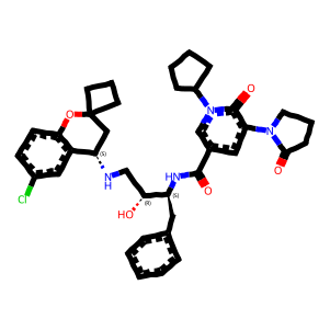 O=C(N[C@@H](Cc1ccccc1)[C@H](O)CN[C@H]1CC2(CCC2)Oc2ccc(Cl)cc21)c1cc(N2CCCC2=O)c(=O)n(C2CCCC2)c1